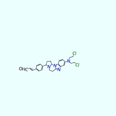 O=C/C=C/c1ccc(C2CCC3N2CCc2nc4cc(N(CCCl)CCCl)ccc4n23)cc1